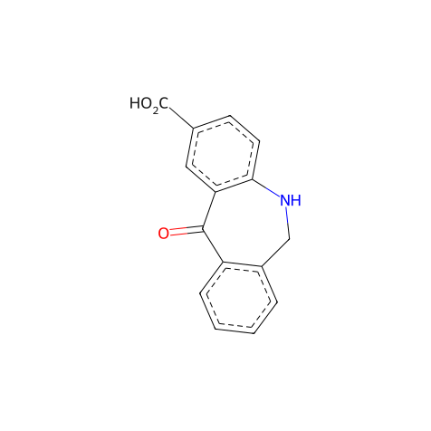 O=C(O)c1ccc2c(c1)C(=O)c1ccccc1CN2